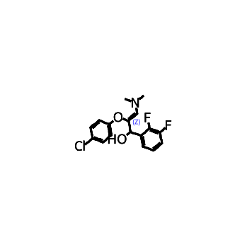 CN(C)/C=C(\Oc1ccc(Cl)cc1)C(O)c1cccc(F)c1F